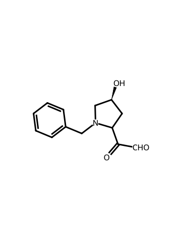 O=CC(=O)C1C[C@H](O)CN1Cc1ccccc1